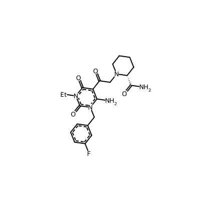 CCn1c(=O)c(C(=O)CN2CCCC[C@@H]2C(N)=O)c(N)n(Cc2cccc(F)c2)c1=O